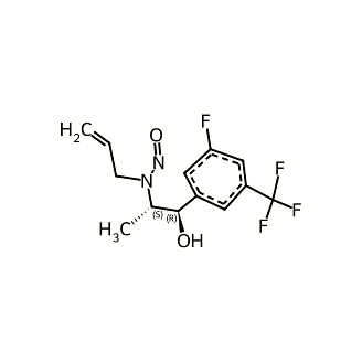 C=CCN(N=O)[C@@H](C)[C@H](O)c1cc(F)cc(C(F)(F)F)c1